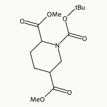 COC(=O)C1CCC(C(=O)OC)N(C(=O)OC(C)(C)C)C1